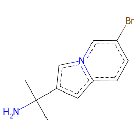 CC(C)(N)c1cc2ccc(Br)cn2c1